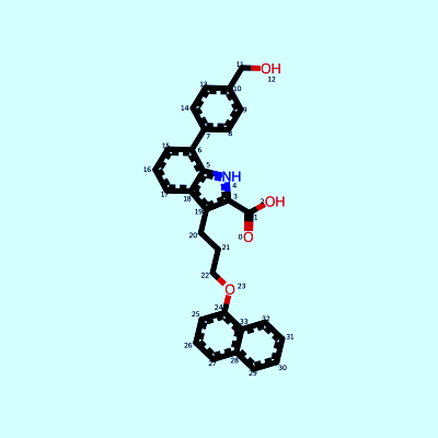 O=C(O)c1[nH]c2c(-c3ccc(CO)cc3)cccc2c1CCCOc1cccc2ccccc12